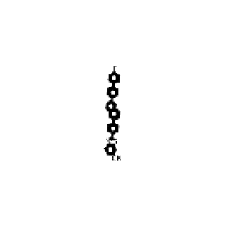 N#Cc1ccc2nc(-c3ccc(-c4ccc5cc(-c6ccc(-c7ccc(F)cc7)cc6)ccc5c4)cc3)sc2c1